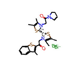 Cc1s[c+](-[c+]2sc(C)c(C)n2CC(=O)N2CCCC2)n(CC(=O)c2sc3ccccc3c2C)c1C.[Br-].[Br-]